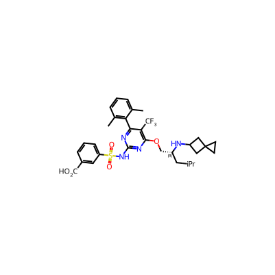 Cc1cccc(C)c1-c1nc(NS(=O)(=O)c2cccc(C(=O)O)c2)nc(OC[C@@H](CC(C)C)NC2CC3(CC3)C2)c1C(F)(F)F